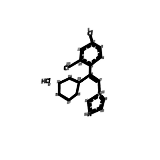 Cl.Clc1ccc(C(=Cn2ccnc2)C2CCCCC2)c(Cl)c1